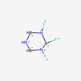 FB1N(F)BNBN1F